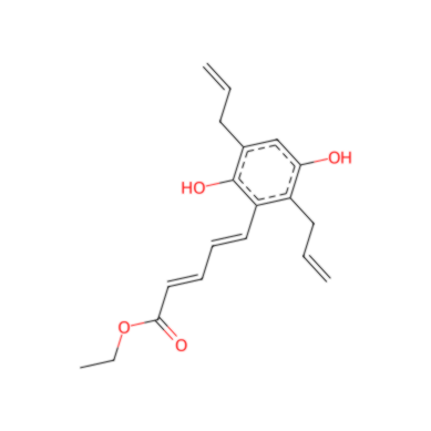 C=CCc1cc(O)c(CC=C)c(/C=C/C=C/C(=O)OCC)c1O